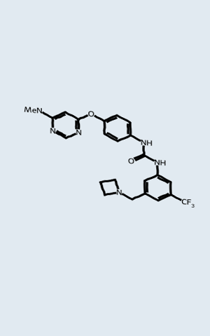 CNc1cc(Oc2ccc(NC(=O)Nc3cc(CN4CCC4)cc(C(F)(F)F)c3)cc2)ncn1